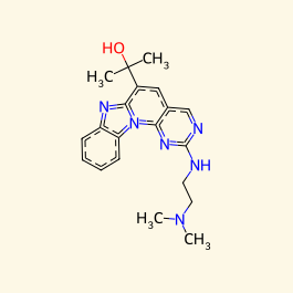 CN(C)CCNc1ncc2cc(C(C)(C)O)c3nc4ccccc4n3c2n1